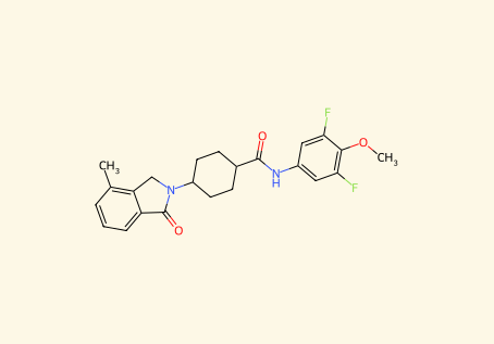 COc1c(F)cc(NC(=O)C2CCC(N3Cc4c(C)cccc4C3=O)CC2)cc1F